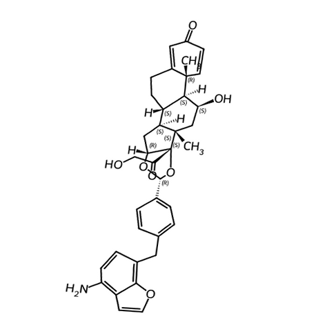 C[C@]12C=CC(=O)C=C1CC[C@@H]1[C@@H]2[C@@H](O)C[C@@]2(C)[C@H]1C[C@H]1O[C@@H](c3ccc(Cc4ccc(N)c5ccoc45)cc3)O[C@]12C(=O)CO